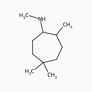 CNC1CCC(C)(C)CCC1C